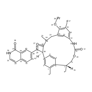 Cc1cc2ccc1[C@@H](C)COC(=O)Nc1cc(F)c(OC(C)C)c(c1)CN(C)C(=O)[C@@H]2Nc1ccc2cc[nH]c(=O)c2c1